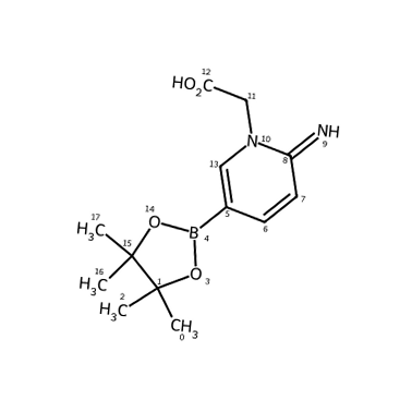 CC1(C)OB(c2ccc(=N)n(CC(=O)O)c2)OC1(C)C